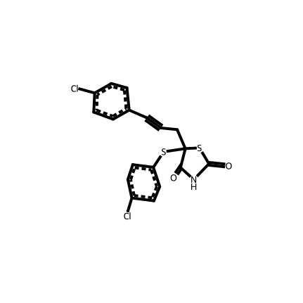 O=C1NC(=O)C(CC#Cc2ccc(Cl)cc2)(Sc2ccc(Cl)cc2)S1